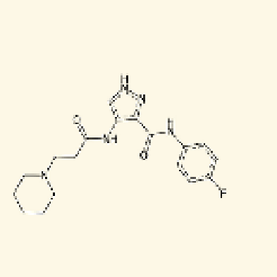 O=C(CCN1CCCCC1)Nc1c[nH]nc1C(=O)Nc1ccc(F)cc1